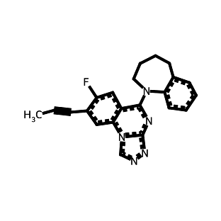 CC#Cc1cc2c(cc1F)c(N1CCCCc3ccccc31)nc1nncn12